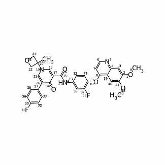 COc1cc2nccc(Oc3ccc(NC(=O)c4cn(C5(C)COC5)cc(-c5ccc(F)cc5)c4=O)cc3F)c2cc1OC